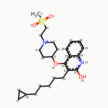 CS(=O)(=O)CCN1CCC(Oc2c(CCCCCC3CC3)c(O)nc3ccccc23)CC1